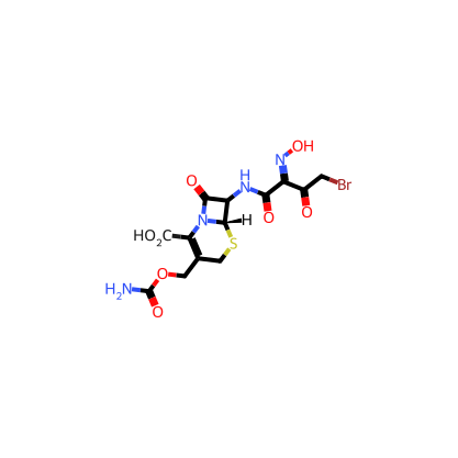 NC(=O)OCC1=C(C(=O)O)N2C(=O)C(NC(=O)C(=NO)C(=O)CBr)[C@@H]2SC1